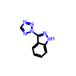 c1ccc2c(-n3ncnn3)n[nH]c2c1